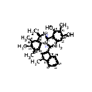 C=C(/N=C(\N=C(/N)C1=C[C@@H](C)c2ccccc21)c1ccc(O)c(C)c1O)c1ccc(C)c(C)c1C